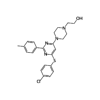 Cc1ccc(-c2nc(Sc3ccc(Cl)cc3)cc(N3CCN(CCO)CC3)n2)cc1